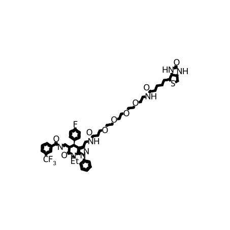 CCN1C(=O)C(/C=N/C(=O)c2cccc(C(F)(F)F)c2)[C@@H](c2ccc(F)cc2)c2c(CNC(=O)CCOCCOCCOCCOCCNC(=O)CCCCC3SCC4NC(=O)NC43)nn(-c3ccccc3)c21